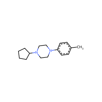 Cc1ccc(N2CCN(C3CCCC3)CC2)cc1